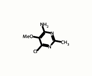 COc1c(N)nc(C)nc1Cl